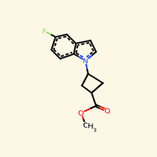 COC(=O)C1CC(n2ccc3cc(F)ccc32)C1